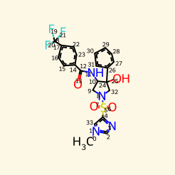 Cn1cnc(S(=O)(=O)N2CC(NC(=O)c3ccc(C(F)(F)F)cc3)C(O)(c3ccccc3)C2)c1